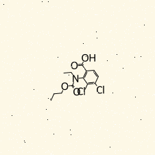 CCCOC(=O)N(CC)c1c(C(=O)O)ccc(Cl)c1Cl